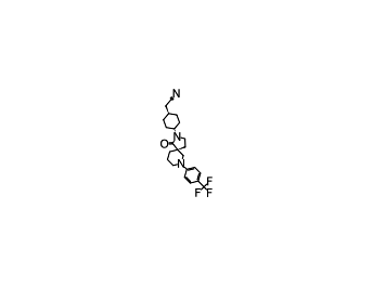 N#CC[C@H]1CC[C@H](N2CC[C@@]3(CCCN(c4ccc(C(F)(F)F)cc4)C3)C2=O)CC1